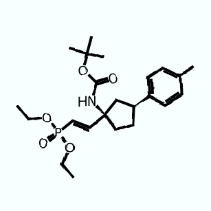 CCOP(=O)(/C=C/[C@@]1(NC(=O)OC(C)(C)C)CC[C@H](c2ccc(C)cc2)C1)OCC